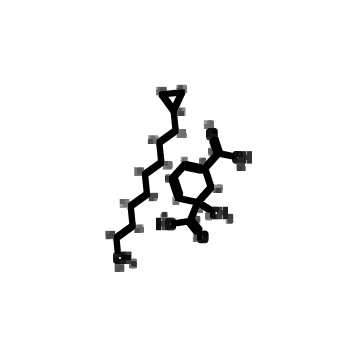 CC1(C(=O)O)C=CC=C(C(=O)O)C1.CCCCCCCCCC1CC1